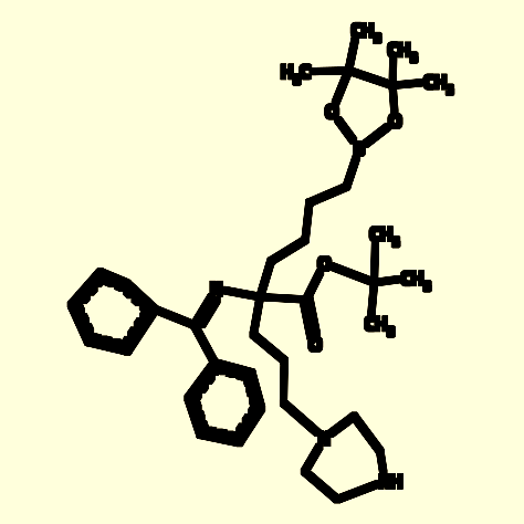 CC(C)(C)OC(=O)C(CCCCB1OC(C)(C)C(C)(C)O1)(CCCN1CCNCC1)N=C(c1ccccc1)c1ccccc1